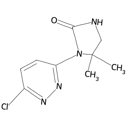 CC1(C)CNC(=O)N1c1ccc(Cl)nn1